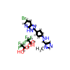 Cn1cncc1CNc1ccc(-c2nc3cc(Br)cnc3[nH]2)cc1.O=C(O)C(F)(F)F.O=C(O)C(F)(F)F